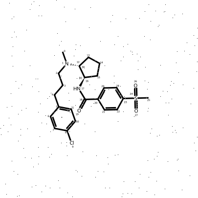 CN(CCCc1ccc(Cl)cc1)[C@@H]1CCC[C@H]1NC(=O)c1ccc(S(C)(=O)=O)cc1